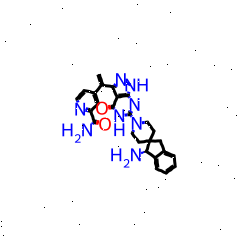 C=C(c1ccnc(C(N)=O)c1)c1n[nH]c2nc(N3CCC4(CC3)Cc3ccccc3[C@H]4N)[nH]c(=O)c12